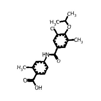 Cc1cc(NC(=O)c2cc(C)c(OC(C)C)c(Cl)c2)ccc1C(=O)O